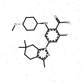 CO[C@H]1CC[C@H](Nc2cc(-n3nc(C)c4c3CC(C)(C)CC4)cc(F)c2C(N)=O)CC1